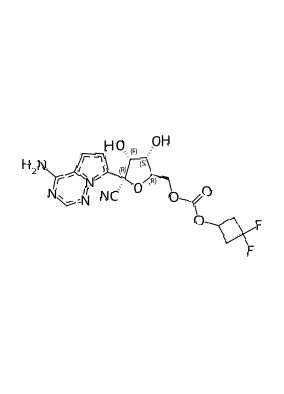 N#C[C@@]1(c2ccc3c(N)ncnn23)O[C@H](COC(=O)OC2CC(F)(F)C2)[C@@H](O)[C@H]1O